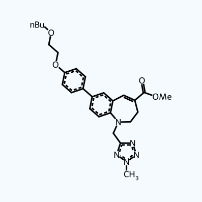 CCCCOCCOc1ccc(-c2ccc3c(c2)C=C(C(=O)OC)CCN3Cc2nnn(C)n2)cc1